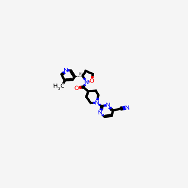 Cc1cncc([C@@H]2CCON2C(=O)C2CCN(c3nccc(C#N)n3)CC2)c1